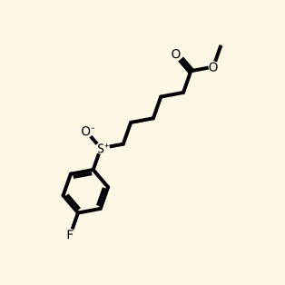 COC(=O)CCCCC[S+]([O-])c1ccc(F)cc1